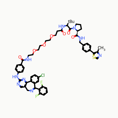 Cc1ncsc1-c1ccc(CNC(=O)[C@@H]2CCCN2C(=O)C(NC(=O)CCOCCOCCOCCNC(=O)c2ccc(Nc3ncc4c(n3)-c3ccc(Cl)cc3C(c3c(F)cccc3F)=NC4)cc2)C(C)(C)C)cc1